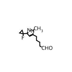 Cn1nc(C2(F)CC2)cc1CCCCC=O